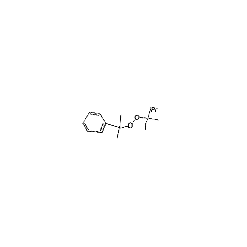 CC(C)C(C)(C)OOC(C)(C)c1ccccc1